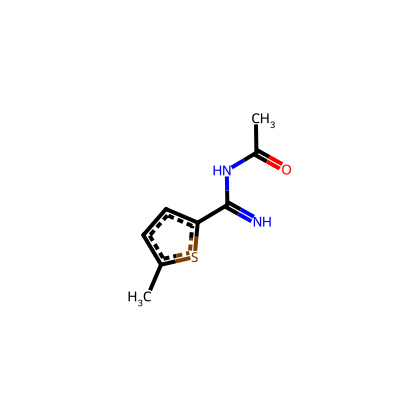 CC(=O)NC(=N)c1ccc(C)s1